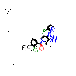 CC1C2=C(C=CN1C(=O)c1cccc(C(F)(F)F)c1Cl)N(c1ncccc1F)NN2